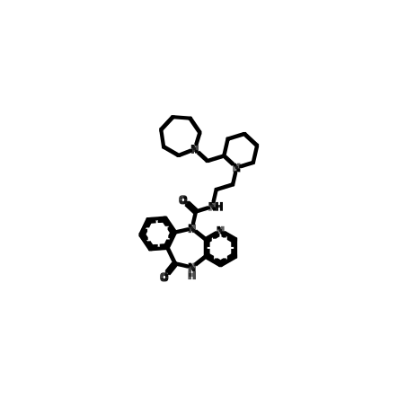 O=C1Nc2cccnc2N(C(=O)NCCN2CCCCC2CN2CCCCCC2)c2ccccc21